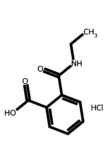 CCNC(=O)c1ccccc1C(=O)O.Cl